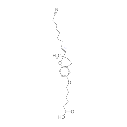 CC1(/C=C/CCCCCCC#N)CCc2cc(OCCCCCC(=O)O)ccc2O1